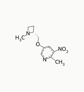 Cc1ncc(OC[C@H]2CCN2C)cc1[N+](=O)[O-]